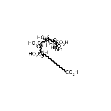 CCCNC(=O)C(NC(=O)CCC(NC(=O)CCC(NC(=O)CCC(NC(=O)CCCCCCCCCCCCCCCCC(=O)O)C(=O)O)C(=O)O)C(=O)O)C(=O)O